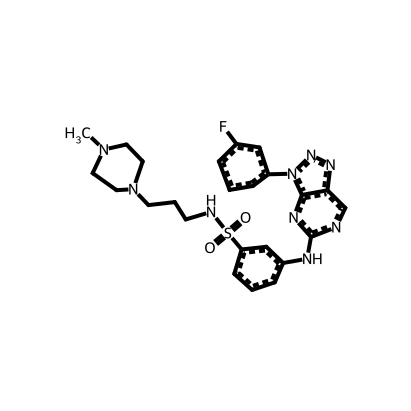 CN1CCN(CCCNS(=O)(=O)c2cccc(Nc3ncc4nnn(-c5cccc(F)c5)c4n3)c2)CC1